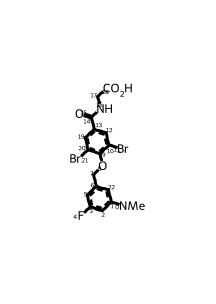 CNc1cc(F)cc(COc2c(Br)cc(C(=O)NCC(=O)O)cc2Br)c1